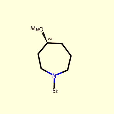 CCN1CCC[C@H](OC)CC1